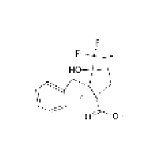 C[C@@]1(Cc2ccccc2)N(C(=O)O)CC[C@@]1(O)C(F)(F)F